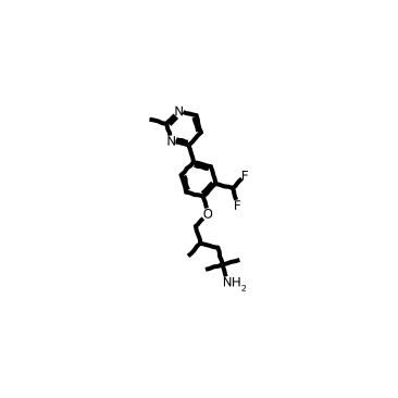 Cc1nccc(-c2ccc(OCC(C)CC(C)(C)N)c(C(F)F)c2)n1